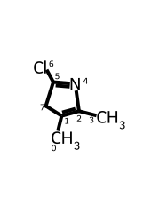 CC1=C(C)N=C(Cl)C1